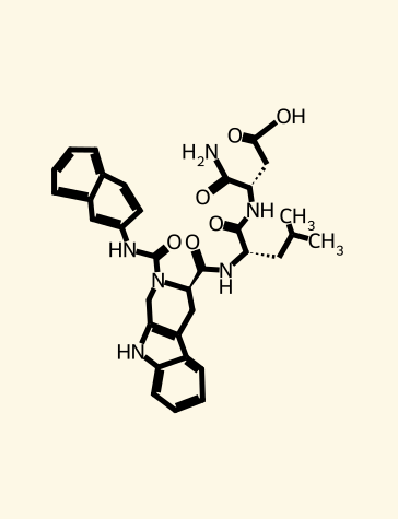 CC(C)C[C@H](NC(=O)[C@H]1Cc2c([nH]c3ccccc23)CN1C(=O)Nc1ccc2ccccc2c1)C(=O)N[C@@H](CC(=O)O)C(N)=O